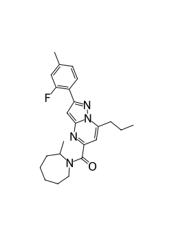 CCCc1cc(C(=O)N2CCCCCC2C)nc2cc(-c3ccc(C)cc3F)nn12